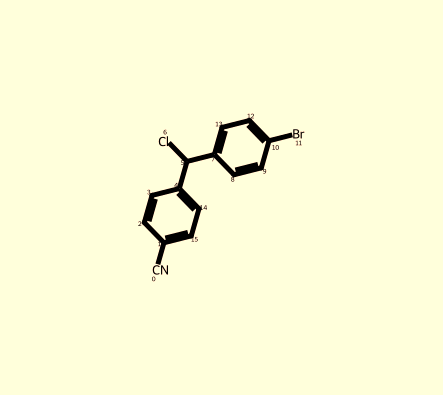 N#Cc1ccc(C(Cl)c2ccc(Br)cc2)cc1